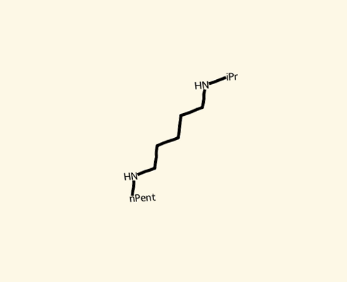 [CH2]CCCCNCCCCCNC(C)C